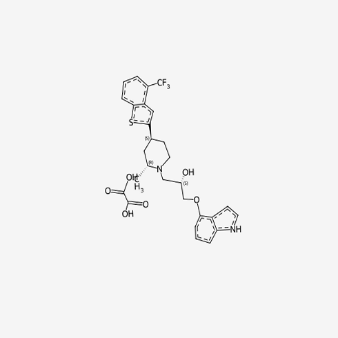 C[C@@H]1C[C@@H](c2cc3c(C(F)(F)F)cccc3s2)CCN1C[C@H](O)COc1cccc2[nH]ccc12.O=C(O)C(=O)O